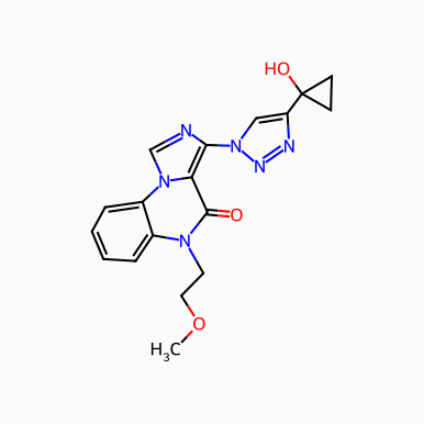 COCCn1c(=O)c2c(-n3cc(C4(O)CC4)nn3)ncn2c2ccccc21